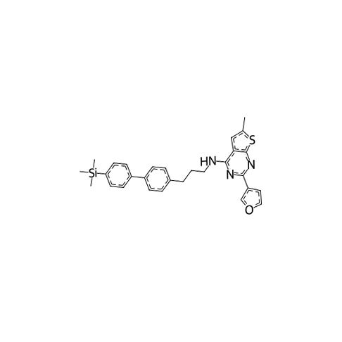 Cc1cc2c(NCCCc3ccc(-c4ccc([Si](C)(C)C)cc4)cc3)nc(-c3ccoc3)nc2s1